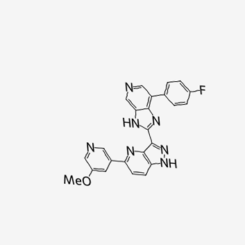 COc1cncc(-c2ccc3[nH]nc(-c4nc5c(-c6ccc(F)cc6)cncc5[nH]4)c3n2)c1